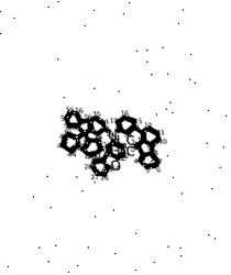 CC1(C)c2ccccc2-c2cccc(-c3cccc(N(c4ccc5oc6ccccc6c5c4)C4C=CC5=C(C4)C(c4ccccc4)(c4ccccc4)c4ccccc45)c3)c21